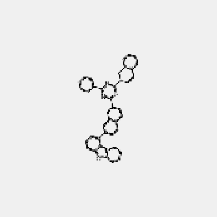 C1=CC(c2nc(-c3ccccc3)nc(-c3ccc4ccc(-c5cccc6oc7ccccc7c56)cc4c3)n2)Cc2ccccc21